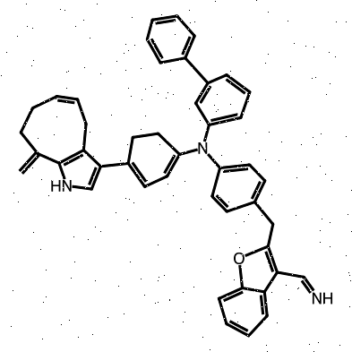 C=C1CC/C=C\Cc2c(C3=CC=C(N(c4ccc(Cc5oc6ccccc6c5C=N)cc4)c4cccc(-c5ccccc5)c4)CC3)c[nH]c21